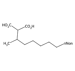 CCCCCCCCCCCCCCC(C)C(C(=O)O)C(=O)O